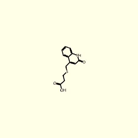 O=C(O)CCSCc1cc(=O)[nH]c2ccccc12